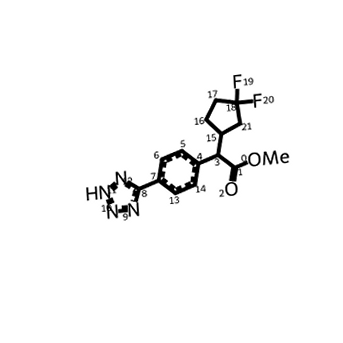 COC(=O)C(c1ccc(-c2nn[nH]n2)cc1)C1CCC(F)(F)C1